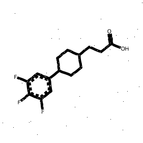 O=C(O)CCC1CCC(c2cc(F)c(F)c(F)c2)CC1